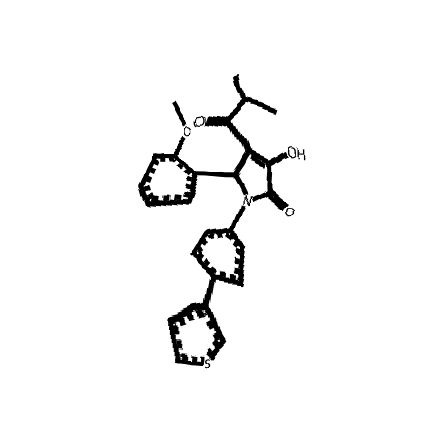 COc1ccccc1C1C(C(=O)C(C)C)=C(O)C(=O)N1c1ccc(-c2ccsc2)cc1